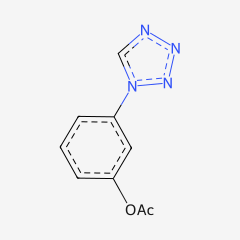 CC(=O)Oc1cccc(-n2cnnn2)c1